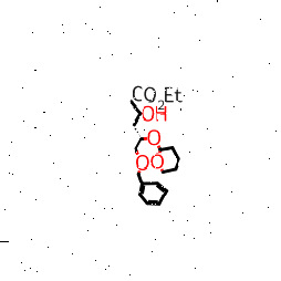 CCOC(=O)C[C@H](O)C[C@@H](COCc1ccccc1)OC1CCCCO1